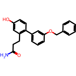 NC(=O)CCc1cc(O)ccc1-c1cccc(OCc2ccccc2)c1